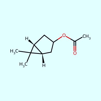 CC(=O)OC1C[C@@H]2[C@H](C1)C2(C)C